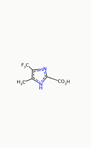 Cc1[nH]c(C(=O)O)nc1C(F)(F)F